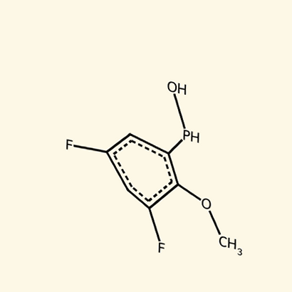 COc1c(F)cc(F)cc1PO